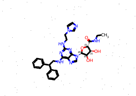 CCNC(=O)[C@H]1O[C@@H](n2cnc3c(NCC(c4ccccc4)c4ccccc4)nc(NCCn4ccnc4)nc32)[C@H](O)[C@@H]1O